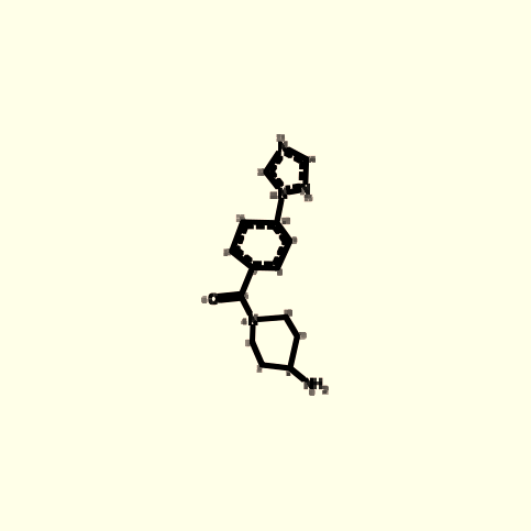 NC1CCN(C(=O)c2ccc(-n3cncn3)cc2)CC1